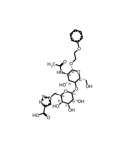 CC(=O)N[C@H]1[C@H](OCCOc2ccccc2)O[C@H](CO)C(O[C@@H]2O[C@H](Cn3cc(C(=O)O)nn3)[C@H](O)[C@H](O)[C@H]2O)[C@@H]1O